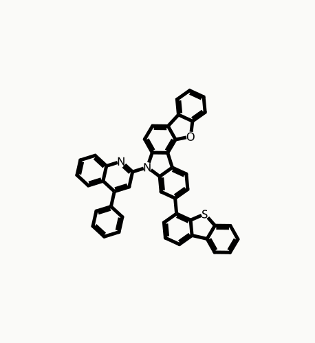 c1ccc(-c2cc(-n3c4cc(-c5cccc6c5sc5ccccc56)ccc4c4c5oc6ccccc6c5ccc43)nc3ccccc23)cc1